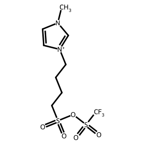 Cn1cc[n+](CCCCS(=O)(=O)OS(=O)(=O)C(F)(F)F)c1